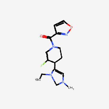 CN1C=C(C2CCN(C(=O)c3ccon3)CC2F)N(CC(C)(C)C)C1